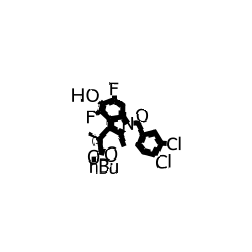 CCCCOC(=O)[C@@H](C)c1c(C)n(C(=O)c2ccc(Cl)c(Cl)c2)c2cc(F)c(O)c(F)c12